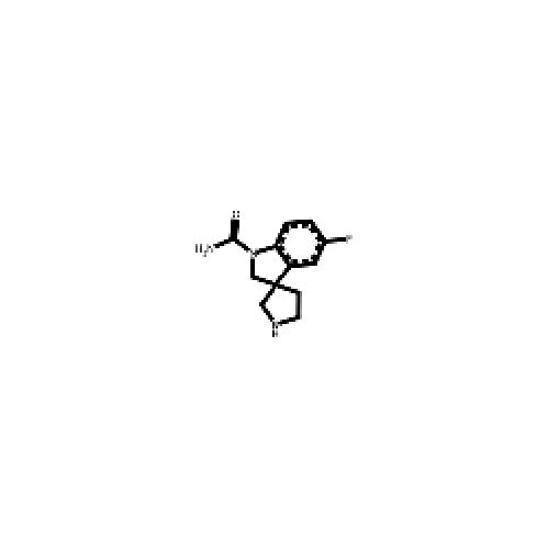 NC(=O)N1CC2(CCNC2)c2cc(F)ccc21